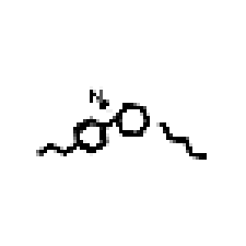 CCCCC[C@H]1CC[C@@](C#N)(c2ccc(CCC)cc2)CC1